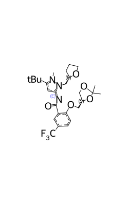 Cn1c(C(C)(C)C)c/c(=N\C(=O)c2cc(C(F)(F)F)ccc2OC[C@H]2COC(C)(C)O2)n1C[C@H]1CCCO1